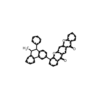 CC1c2ccccc2-c2cc(-c3cccc4c(=O)c5cc6c(=O)c7ccccc7oc6cc5oc34)ccc2C1c1ccccc1